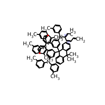 C=C/C=C\C(=C/C)N(c1cccc(C)c1)c1cc(N(c2cccc(C)c2)c2cccc(C)c2)cc(C2(c3cc(N(c4cccc(C)c4)c4cccc(C)c4)cc(N(c4cccc(C)c4)c4cccc(C)c4)c3)c3ccccc3C(C)(C)c3ccccc32)c1